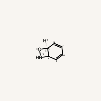 C1=CC2NO[C@H]2C=C1